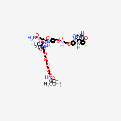 CC(C)[C@H](NC(=O)CCOCCOCCOCCOCCONC(=O)OC(C)(C)C)C(=O)N[C@@H](CCCNC(N)=O)C(=O)Nc1ccc(COC(=O)NCCCOc2ccc([C@H]3Nc4cc(F)cc5c(=O)[nH]nc(c45)[C@@H]3c3ncnn3C)cc2)cc1